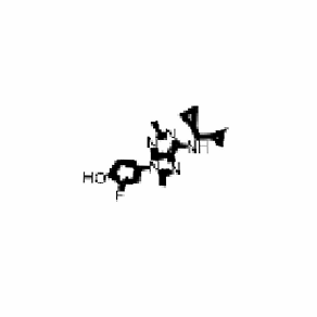 Cc1nc(NC(C2CC2)C2CC2)c2nc(C)n(-c3ccc(O)c(F)c3)c2n1